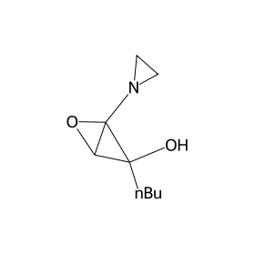 CCCCC1(O)C2OC21N1CC1